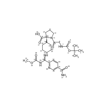 CC(C)(C)OC(=O)NCC(=O)N1CCC[C@]1(C(=O)O)C1CCCCC1.COC(=O)NC(=N)c1ccc(C(N)=O)cn1